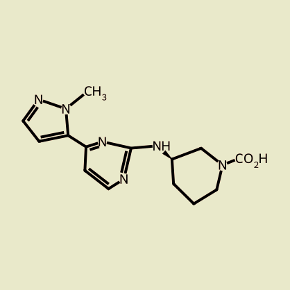 Cn1nccc1-c1ccnc(N[C@@H]2CCCN(C(=O)O)C2)n1